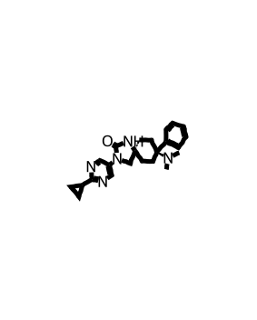 CN(C)[C@]1(c2ccccc2)CC[C@]2(CC1)CN(c1cnc(C3CC3)nc1)C(=O)N2